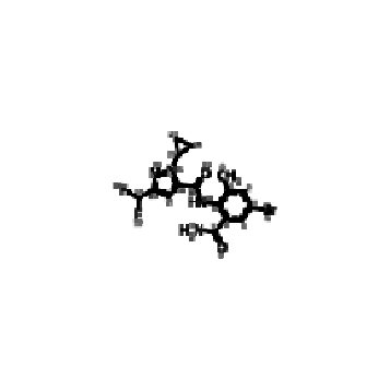 Cc1cc(Br)cc(C(N)=O)c1NC(=O)c1cc(C(F)F)nn1C1CC1